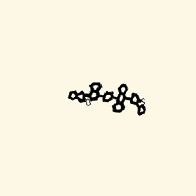 c1ccc2cc3c(cc2c1)oc1cc(-c2ccc(-c4c5ccccc5c(-c5ccc6sc7ccccc7c6c5)c5ccccc45)cc2)c2ccccc2c13